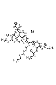 CCCCCCCCC(=Nc1ccc(CC(=O)CC)c(CC(=O)CC)c1)C(CCCCCCCC)=Nc1ccc(CC(=O)CC)c(CC(=O)CC)c1.[Ni]